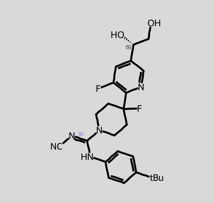 CC(C)(C)c1ccc(N/C(=N\C#N)N2CCC(F)(c3ncc([C@H](O)CO)cc3F)CC2)cc1